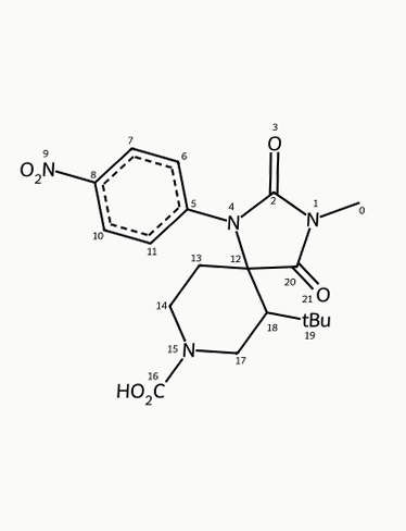 CN1C(=O)N(c2ccc([N+](=O)[O-])cc2)C2(CCN(C(=O)O)CC2C(C)(C)C)C1=O